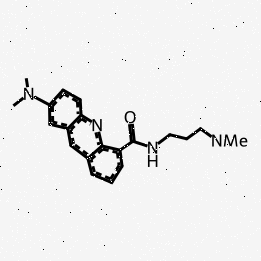 CNCCCNC(=O)c1cccc2cc3cc(N(C)C)ccc3nc12